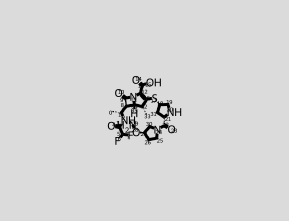 C[C@@H](NC(=O)C(F)F)[C@H]1C(=O)N2C(C(=O)O)=C(S[C@@H]3CN[C@H](C(=O)N4CC[C@@H](ON)C4)C3)[C@H](C)[C@H]12